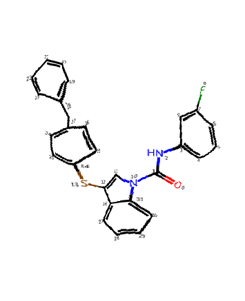 O=C(Nc1cccc(F)c1)n1cc(Sc2ccc(-c3ccccc3)cc2)c2ccccc21